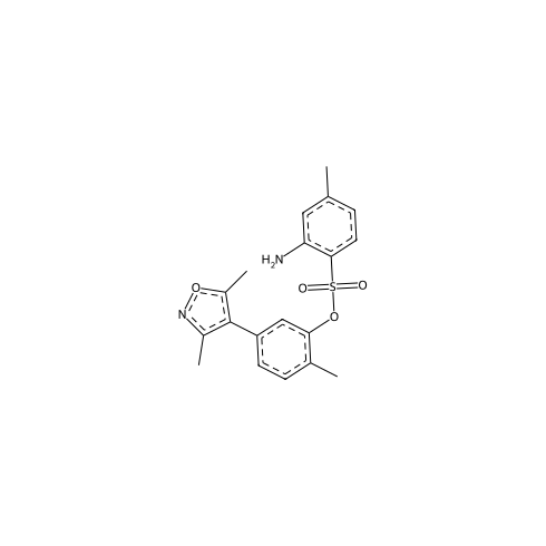 Cc1ccc(S(=O)(=O)Oc2cc(-c3c(C)noc3C)ccc2C)c(N)c1